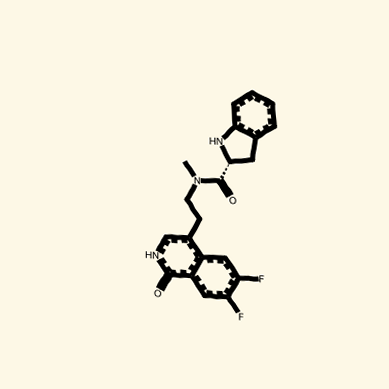 CN(CCc1c[nH]c(=O)c2cc(F)c(F)cc12)C(=O)[C@H]1Cc2ccccc2N1